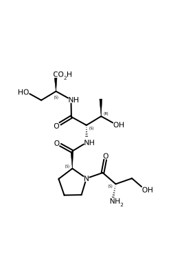 C[C@@H](O)[C@H](NC(=O)[C@@H]1CCCN1C(=O)[C@@H](N)CO)C(=O)N[C@@H](CO)C(=O)O